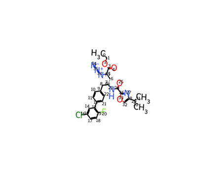 CCOC(=O)[C@@H](C[C@@H](Cc1ccc(-c2cc(Cl)ccc2F)cc1)NC(=O)c1nc(C(C)C)co1)N=[N+]=[N-]